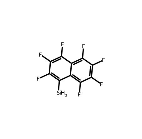 Fc1c(F)c(F)c2c([SiH3])c(F)c(F)c(F)c2c1F